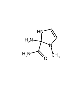 CN1C=CNC1(N)C(N)=O